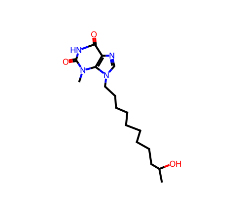 CC(O)CCCCCCCCCn1cnc2c(=O)[nH]c(=O)n(C)c21